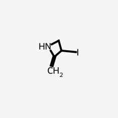 C=C1NCC1I